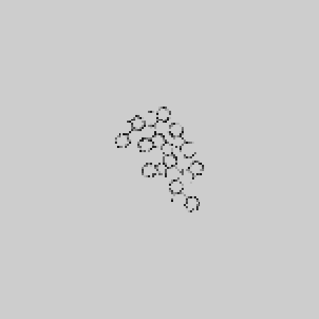 C/C=C\C1=C(C)c2ccccc2C12c1cc(N(c3ccc(C)c(-c4ccccc4)c3)c3ccccc3C)c3ccccc3c1-c1c2cc(N(c2ccc(C)c(-c3ccccc3)c2)c2ccccc2C)c2oc3ccccc3c12